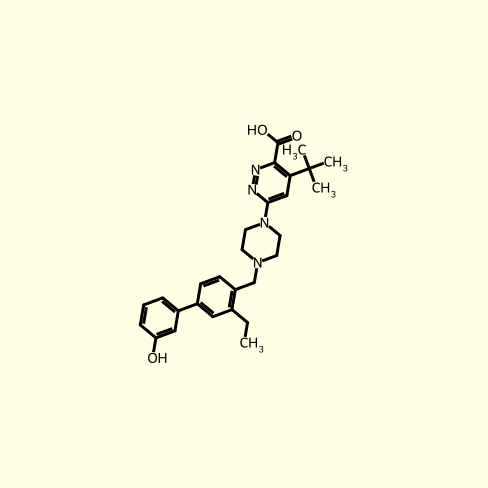 CCc1cc(-c2cccc(O)c2)ccc1CN1CCN(c2cc(C(C)(C)C)c(C(=O)O)nn2)CC1